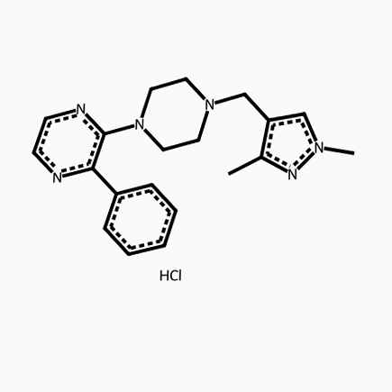 Cc1nn(C)cc1CN1CCN(c2nccnc2-c2ccccc2)CC1.Cl